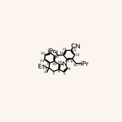 CCC1(C)Cc2ccn(-c3c(CC(C)C)cc(C#N)cc3CC(C)C)c2-c2ccccc21